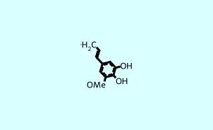 [CH2]/C=C/c1cc(O)c(O)c(OC)c1